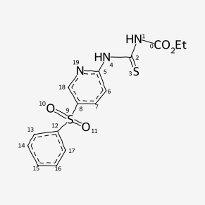 CCOC(=O)NC(=S)Nc1ccc(S(=O)(=O)c2ccccc2)cn1